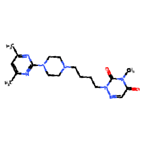 Cc1cc(C)nc(N2CCN(CCCCn3ncc(=O)n(C)c3=O)CC2)n1